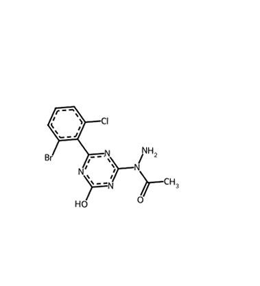 CC(=O)N(N)c1nc(O)nc(-c2c(Cl)cccc2Br)n1